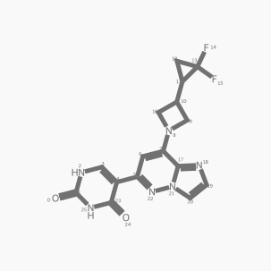 O=c1[nH]cc(-c2cc(N3CC(C4CC4(F)F)C3)c3nccn3n2)c(=O)[nH]1